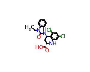 CCN(C(=O)N[C@@H]1C[C@@H](C(=O)O)Nc2cc(Cl)cc(Cl)c21)c1ccccc1